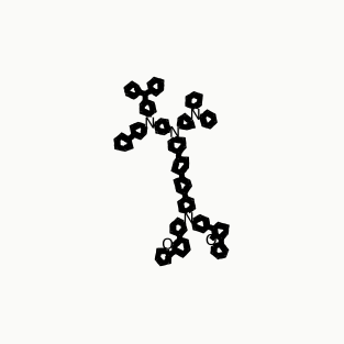 C1=CC(N(c2ccc(-c3ccccc3)cc2)c2ccc(C(c3ccccc3)c3ccccc3)cc2)CC=C1N(c1ccc(-c2ccc(-c3ccc(-c4ccc(N(c5ccc(-c6cccc7c6oc6ccccc67)cc5)c5cccc(-c6cccc7c6oc6ccccc67)c5)cc4)cc3)cc2)cc1)c1ccc(N(c2ccccc2)c2ccccc2)cc1